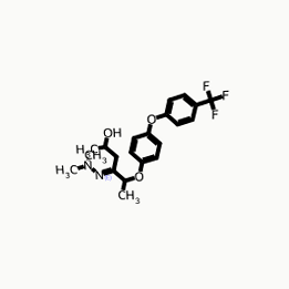 CC(O)C/C(=N\N(C)C)C(C)Oc1ccc(Oc2ccc(C(F)(F)F)cc2)cc1